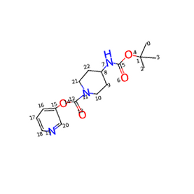 CC(C)(C)OC(=O)NC1CCN(C(=O)Oc2cccnc2)CC1